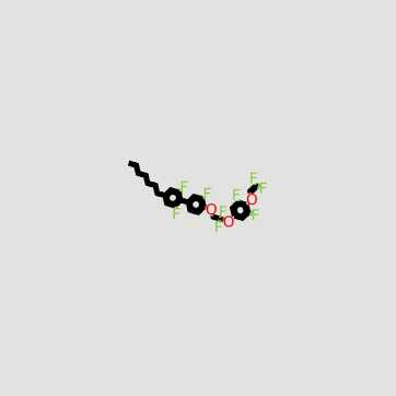 CCCCCCCc1cc(F)c(-c2ccc(OCC(F)(F)Oc3cc(F)c(OC=C(F)F)c(F)c3)c(F)c2)c(F)c1